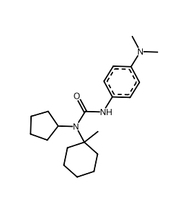 CN(C)c1ccc(NC(=O)N(C2CCCC2)C2(C)CCCCC2)cc1